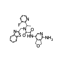 CC(c1ncccc1F)N(Cc1nc2ccccc2s1)C(=O)C(=O)Nc1cnc(N)c2c1COC2